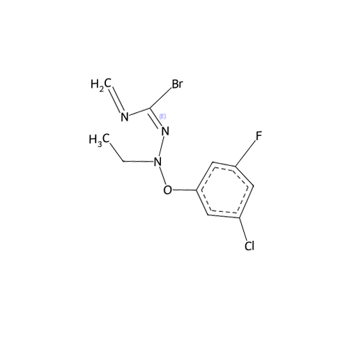 C=N/C(Br)=N\N(CC)Oc1cc(F)cc(Cl)c1